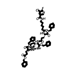 CCCCOP(=O)(N[C@@H](CCC(=O)OCc1ccccc1)C(=O)OCc1ccccc1)OCCC[C@H](NC(=O)CC[C@H](NC(=O)CCCCCNC(=O)c1cnc(F)c(Cl)c1)C(=O)OCc1ccccc1)C(=O)OCc1ccccc1